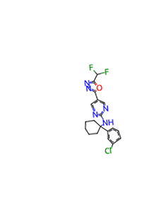 FC(F)c1nnc(-c2cnc(NC3(c4cccc(Cl)c4)CCCCC3)nc2)o1